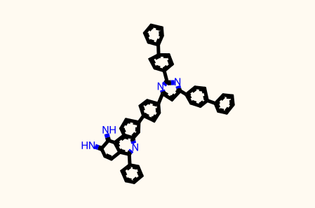 N=C1C=Cc2c(-c3ccccc3)nc3cc(-c4ccc(-c5cc(-c6ccc(-c7ccccc7)cc6)nc(-c6ccc(-c7ccccc7)cc6)n5)cc4)ccc3c2C1=N